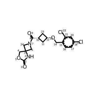 O=C1NC2(CO1)CN(C(=O)[C@H]1C[C@@H](OCc3ccc(Cl)cc3Cl)C1)C2